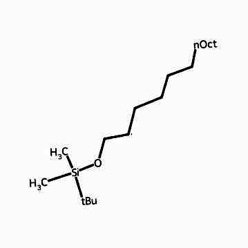 CCCCCCCCCCCC[CH]CO[Si](C)(C)C(C)(C)C